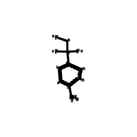 Nc1ccc(C(F)(F)CF)cn1